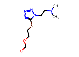 CN(C)CCn1nnnc1SCCOC[O]